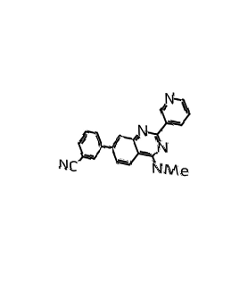 CNc1nc(-c2cccnc2)nc2cc(-c3cccc(C#N)c3)ccc12